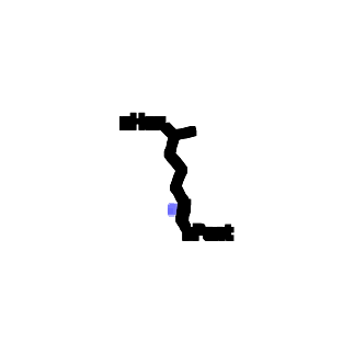 [CH2]CCCC/C=C/CCCC(C)CCCCC[CH2]